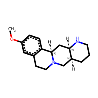 COc1ccc2c(c1)CCN1C[C@@H]3CCCN[C@@H]3C[C@H]21